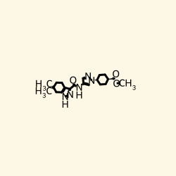 COC(=O)[C@H]1CC[C@H](n2cc(NC(=O)c3n[nH]c4c3CCC(C)(C)C4)cn2)CC1